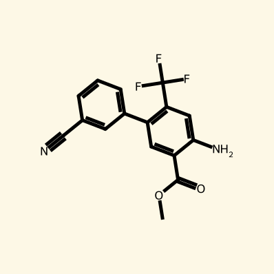 COC(=O)c1cc(-c2cccc(C#N)c2)c(C(F)(F)F)cc1N